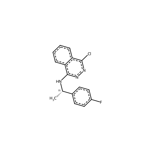 C[C@H](Nc1nnc(Cl)c2ccccc12)c1ccc(F)cc1